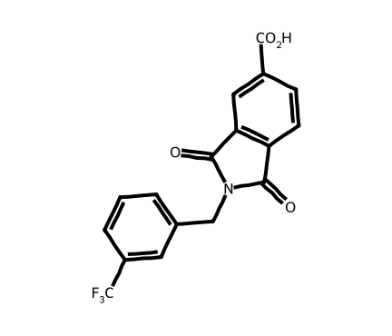 O=C(O)c1ccc2c(c1)C(=O)N(Cc1cccc(C(F)(F)F)c1)C2=O